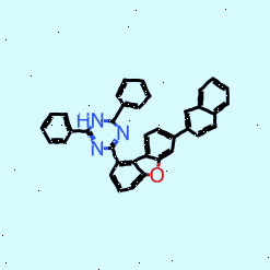 c1ccc(C2=NC(c3cccc4oc5cc(-c6ccc7ccccc7c6)ccc5c34)=NC(c3ccccc3)N2)cc1